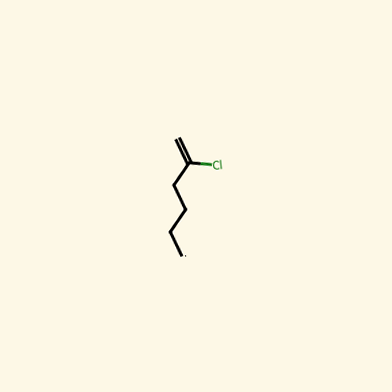 [CH2]CCCC(=C)Cl